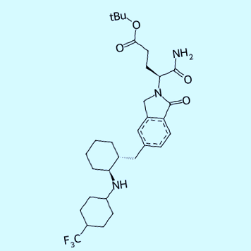 CC(C)(C)OC(=O)CC[C@@H](C(N)=O)N1Cc2cc(C[C@H]3CCCC[C@@H]3NC3CCC(C(F)(F)F)CC3)ccc2C1=O